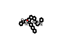 c1ccc2cc3c(-n4c5ccc6nc7ccccc7n6c5c5ccc6ccc7ccccc7c6c54)cc(-c4ncc5oc6ccccc6c5n4)cc3cc2c1